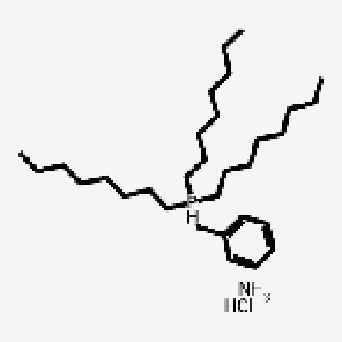 CCCCCCCC[PH](CCCCCCCC)(CCCCCCCC)Cc1ccccc1.Cl.N